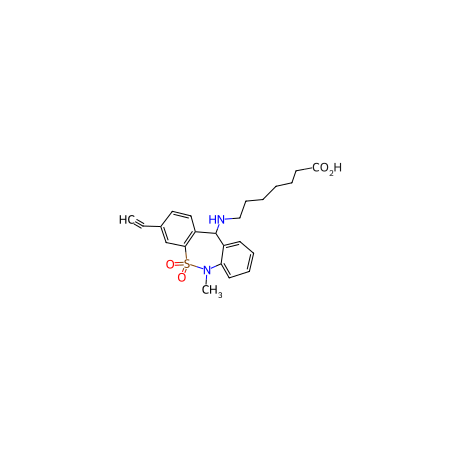 C#Cc1ccc2c(c1)S(=O)(=O)N(C)c1ccccc1C2NCCCCCCC(=O)O